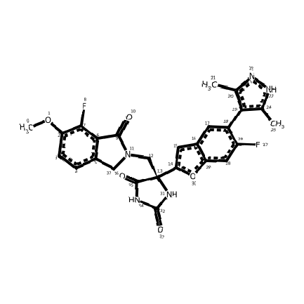 COc1ccc2c(c1F)C(=O)N(C[C@@]1(c3cc4cc(-c5c(C)n[nH]c5C)c(F)cc4o3)NC(=O)NC1=O)C2